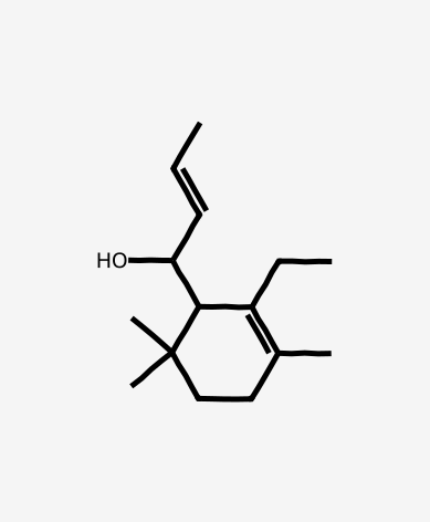 CC=CC(O)C1C(CC)=C(C)CCC1(C)C